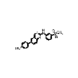 CS(=O)(=O)c1cccc(Nc2ncc3cc(-c4ccc(O)cc4)ccc3n2)c1